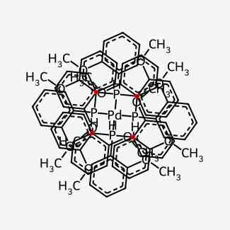 COc1ccccc1[PH](c1ccccc1OC)(c1ccccc1OC)[Pd]([PH](c1ccccc1OC)(c1ccccc1OC)c1ccccc1OC)([PH](c1ccccc1OC)(c1ccccc1OC)c1ccccc1OC)[PH](c1ccccc1OC)(c1ccccc1OC)c1ccccc1OC